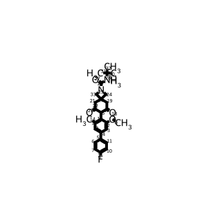 COc1cc(-c2ccc(F)cc2)cc(C)c1C1C(=O)CC2(CC1=O)CN(C(=O)NC(C)(C)C)C2